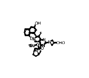 CCc1cccc2cc(O)cc(-c3ncc4c(N5CC6CCC(C5)N6C(=O)OC(C)(C)C)nc(N5CC(C=O)C5)nc4c3F)c12